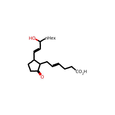 CCCCCCC(O)C=CC1CCC(=O)C1CC=CCCC(=O)O